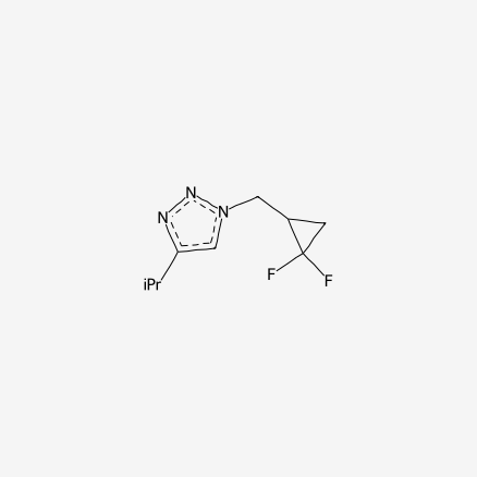 CC(C)c1cn(CC2CC2(F)F)nn1